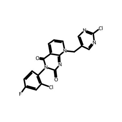 O=c1nc2n(Cc3cnc(Cl)nc3)cccc-2c(=O)n1-c1ccc(F)cc1Cl